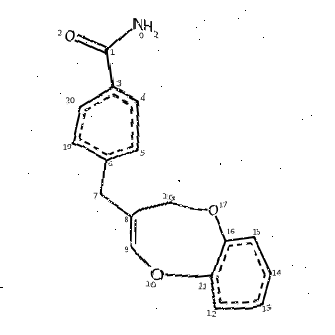 NC(=O)c1ccc(CC2=COc3ccccc3OC2)cc1